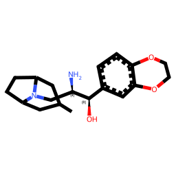 CC1CC2CCC(C1)N2C[C@@H](N)[C@H](O)c1ccc2c(c1)OCCO2